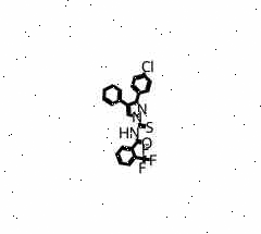 O=C(NC(=S)n1cc(C2=CCCC=C2)c(-c2ccc(Cl)cc2)n1)c1ccccc1C(F)(F)F